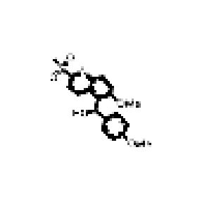 COc1ccc(C(O)c2c(OC)ccc3nc(S(C)(=O)=O)ccc23)cc1